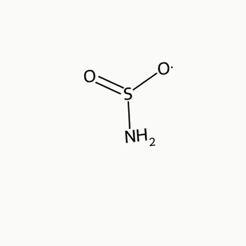 NS([O])=O